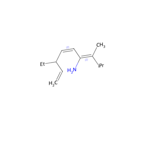 C=CC(/C=C\C(N)=C(/C)C(C)C)CC